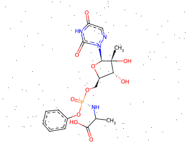 CC(N[P@](=O)(OC[C@H]1O[C@@H](n2ncc(=O)[nH]c2=O)[C@](C)(O)[C@@H]1O)Oc1ccccc1)C(=O)O